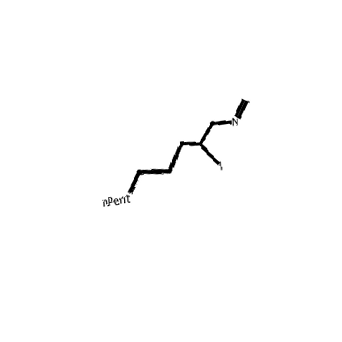 C=NCC(I)CCCCCCCC